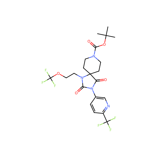 CC(C)(C)OC(=O)N1CCC2(CC1)C(=O)N(c1ccc(C(F)(F)F)nc1)C(=O)N2CCOC(F)(F)F